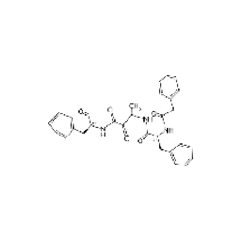 CC(NC(=O)[C@H](Cc1ccccc1)NC(=O)Cc1ccccc1)C(=O)C(=O)N[C@H](C=O)Cc1ccccc1